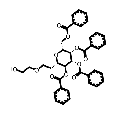 O=C(OC[C@H]1O[C@@H](CCOCCO)[C@H](OC(=O)c2ccccc2)[C@@H](OC(=O)c2ccccc2)[C@H]1OC(=O)c1ccccc1)c1ccccc1